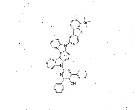 C[Si](C)(C)c1cccc2c1sc1ccc(-n3c4ccccc4c4c5c6ccccc6n(-c6nc(-c7ccccc7)c(C#N)c(-c7ccccc7)n6)c5ccc43)cc12